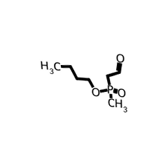 CCCCOP(C)(=O)CC=O